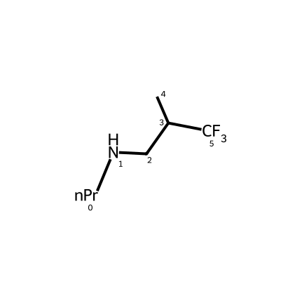 CCCNCC(C)C(F)(F)F